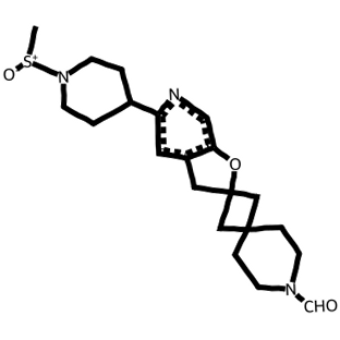 C[S+]([O-])N1CCC(c2cc3c(cn2)OC2(C3)CC3(CCN(C=O)CC3)C2)CC1